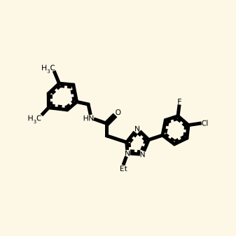 CCn1nc(-c2ccc(Cl)c(F)c2)nc1CC(=O)NCc1cc(C)cc(C)c1